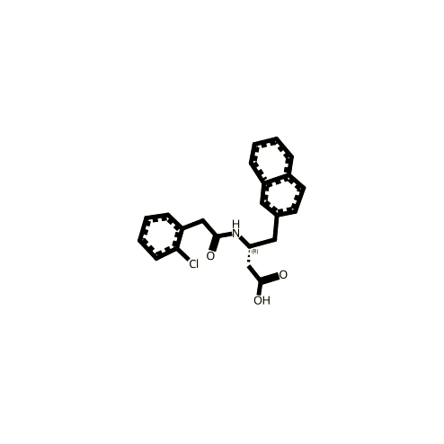 O=C(O)C[C@@H](Cc1ccc2ccccc2c1)NC(=O)Cc1ccccc1Cl